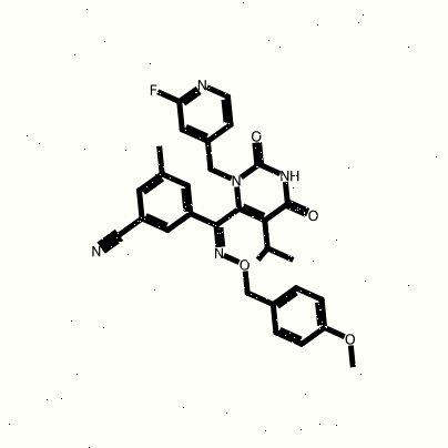 COc1ccc(CO/N=C(/c2cc(C)cc(C#N)c2)c2c(C(C)C)c(=O)[nH]c(=O)n2Cc2ccnc(F)c2)cc1